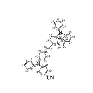 N#Cc1ccc(N(c2ccccc2)c2ccc(/C=C/c3ccc4c5c3ccc3cccc(c35)n4-c3ccccc3)cc2)cc1